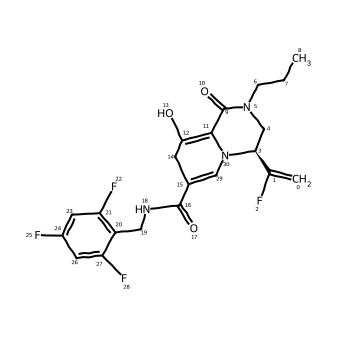 C=C(F)[C@@H]1CN(CCC)C(=O)C2=C(O)CC(C(=O)NCc3c(F)cc(F)cc3F)=CN21